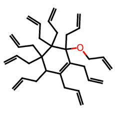 C=CCOC1(CC=C)C(CC=C)=C(CC=C)C(CC=C)C(CC=C)(CC=C)C1(CC=C)CC=C